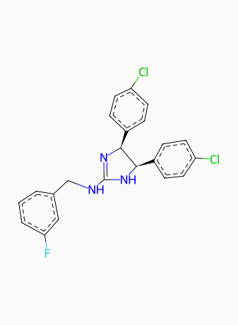 Fc1cccc(CNC2=N[C@@H](c3ccc(Cl)cc3)[C@@H](c3ccc(Cl)cc3)N2)c1